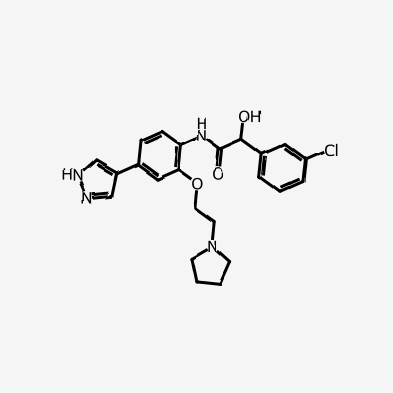 O=C(Nc1ccc(-c2cn[nH]c2)cc1OCCN1CCCC1)C(O)c1cccc(Cl)c1